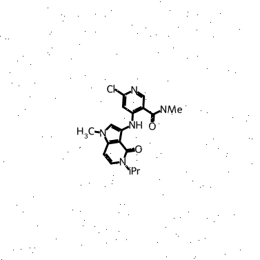 CNC(=O)c1cnc(Cl)cc1Nc1cn(C)c2ccn(C(C)C)c(=O)c12